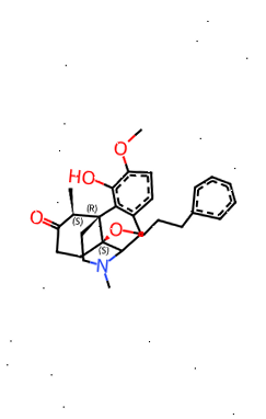 COc1ccc2c(c1O)[C@]13CCN(C)C(C2)[C@]1(OCCCc1ccccc1)CCC(=O)[C@H]3C